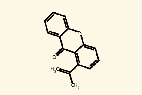 C=C(C)c1cccc2sc3ccccc3c(=O)c12